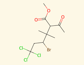 COC(=O)C(C(C)=O)C(C)(C)C(Br)CC(Cl)(Cl)Cl